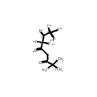 CC(C)(C)C(=O)CC(=O)C(F)(F)C(F)C(F)(F)F